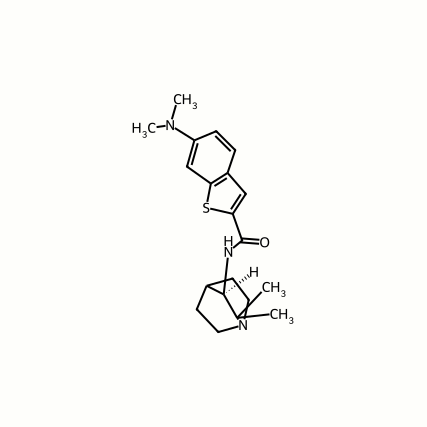 CN(C)c1ccc2cc(C(=O)N[C@@H]3C4CCN(CC4)C3(C)C)sc2c1